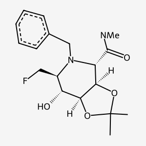 CNC(=O)[C@@H]1[C@H]2OC(C)(C)O[C@H]2[C@H](O)[C@@H](CF)N1Cc1ccccc1